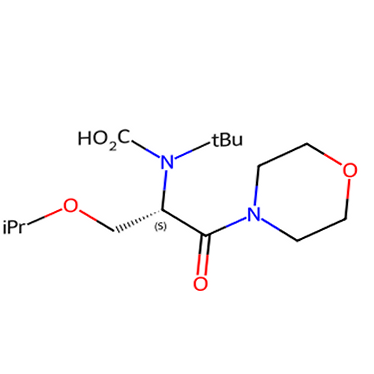 CC(C)OC[C@@H](C(=O)N1CCOCC1)N(C(=O)O)C(C)(C)C